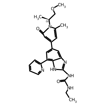 CCNC(=O)Nc1nc2cc(-c3cc(C)n([C@@H](C)COC)c(=O)c3)cc(-c3ccccn3)c2[nH]1